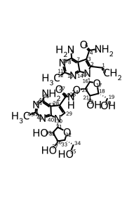 C=Cc1c(C(N)=O)c2c(N)nc(C)nc2n1[C@@H]1O[C@H](CO)[C@@H](O)[C@H]1ONC(=O)c1cn([C@@H]2O[C@H](CO)[C@@H](O)[C@@H]2O)c2nc(C)nc(N)c12